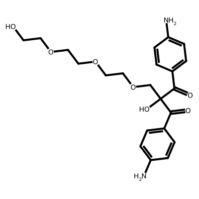 Nc1ccc(C(=O)C(O)(COCCOCCOCCO)C(=O)c2ccc(N)cc2)cc1